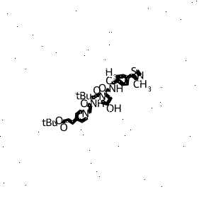 Cc1ncsc1-c1ccc([C@H](C)NC(=O)[C@@H]2C[C@@H](O)CN2C(=O)[C@@H](NC(=O)CN2CCC(CCC(=O)OC(C)(C)C)CC2)C(C)(C)C)cc1